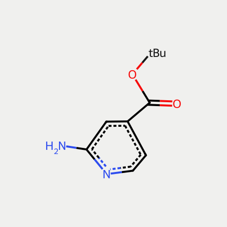 CC(C)(C)OC(=O)c1ccnc(N)c1